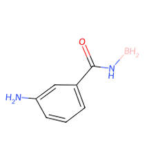 BNC(=O)c1cccc(N)c1